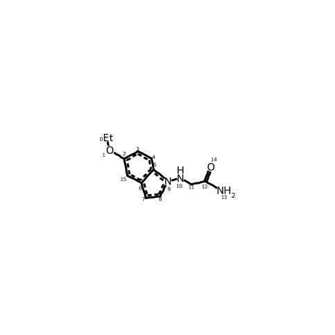 CCOc1ccc2c(ccn2NCC(N)=O)c1